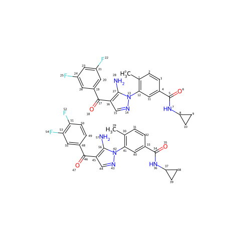 Cc1ccc(C(=O)NC2CC2)cc1-n1ncc(C(=O)c2cc(F)cc(F)c2)c1N.Cc1ccc(C(=O)NC2CC2)cc1-n1ncc(C(=O)c2ccc(F)c(F)c2)c1N